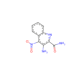 NC(=O)c1nc2ccccc2c([N+](=O)[O-])c1N